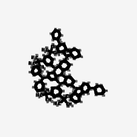 CC(C)(C)c1cc(N2c3cc(-n4c5ccccc5c5cc(-c6ccccc6)ccc54)ccc3B3c4ccc(-n5c6ccccc6c6cc(-c7ccccc7)ccc65)cc4N(c4cc(C(C)(C)C)cc(C(C)(C)C)c4)c4cc(N(c5ccccc5)c5ccccc5)cc2c43)cc(C(C)(C)C)c1